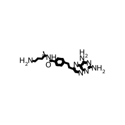 C[C@H](CCCN)NC(=O)c1ccc(CCc2cnc3nc(N)nc(N)c3n2)cc1